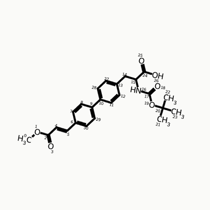 COC(=O)C=Cc1ccc(-c2ccc(CC(NC(=O)OC(C)(C)C)C(=O)O)cc2)cc1